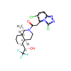 C[C@H]1[C@H]2CCC[C@@H]([C@H](O)C(F)(F)F)[C@@H]2CCN1C(=O)Cc1c(Cl)ccc2nnc(Cl)n12